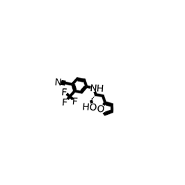 N#Cc1ccc(N[C@@H](CO)Cc2ccco2)cc1C(F)(F)F